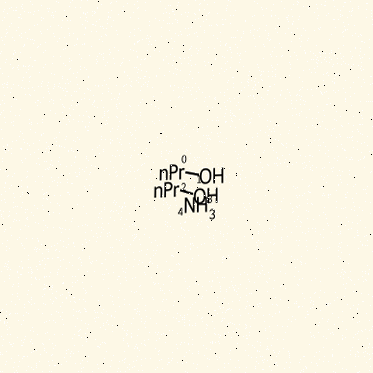 CCCO.CCCO.N